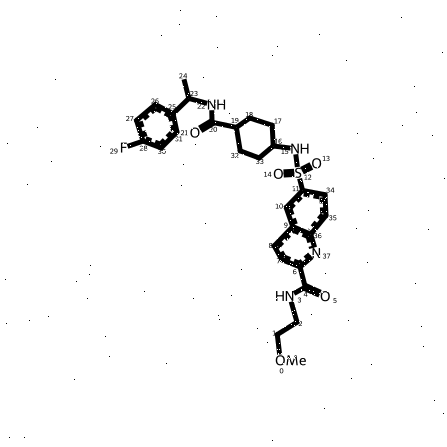 COCCNC(=O)c1ccc2cc(S(=O)(=O)NC3CCC(C(=O)NC(C)c4ccc(F)cc4)CC3)ccc2n1